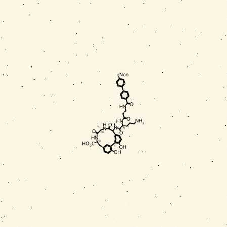 CCCCCCCCCc1ccc(-c2ccc(C(=O)NCCC(=O)N[C@@H](CCCN)C(=O)N(C)C3C(=O)N[C@@H](C)C(=O)N[C@H](C(=O)O)Cc4ccc(O)c(c4)-c4cc3ccc4O)cc2)cc1